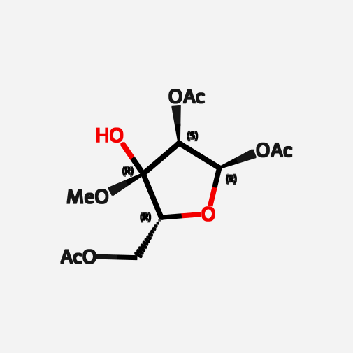 CO[C@]1(O)[C@@H](COC(C)=O)O[C@H](OC(C)=O)[C@@H]1OC(C)=O